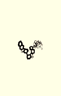 CC1(C)OB(c2cccc3c2ccc2sc4cccc(-c5ccc6c(c5)sc5cc7ccccc7cc56)c4c23)OC1(C)C